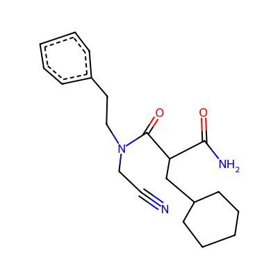 N#CCN(CCc1ccccc1)C(=O)C(CC1CCCCC1)C(N)=O